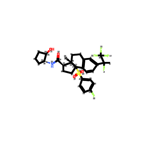 CC(F)(c1ccc2c(c1)CC[C@H]1[C@H](C(=O)N[C@@H]3CCC[C@H]3O)CC[C@@]21S(=O)(=O)c1ccc(F)cc1)C(F)(F)F